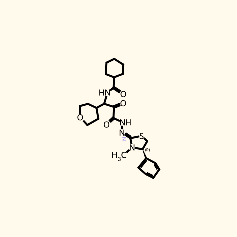 CN1/C(=N/NC(=O)C(=O)C(NC(=O)C2CCCCC2)C2CCOCC2)SC[C@H]1c1ccccc1